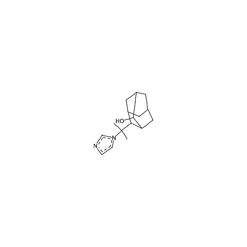 CC(C)(C1C2CC3CC(C2)C(O)C1C3)n1ccnc1